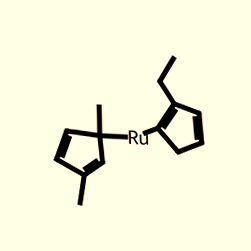 CCC1=[C]([Ru][C]2(C)C=CC(C)=C2)CC=C1